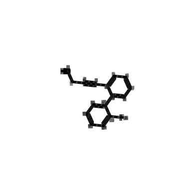 OCC#Cc1ccccc1-c1ccccc1F